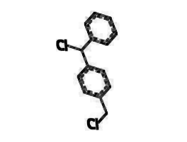 ClCc1ccc(C(Cl)c2ccccc2)cc1